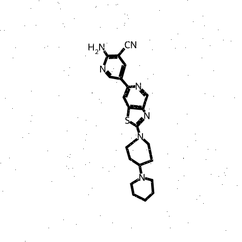 N#Cc1cc(-c2cc3sc(N4CCC(N5CCCCC5)CC4)nc3cn2)cnc1N